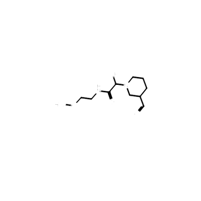 COCCNC(=O)C(C)N1CCCC(C=O)C1